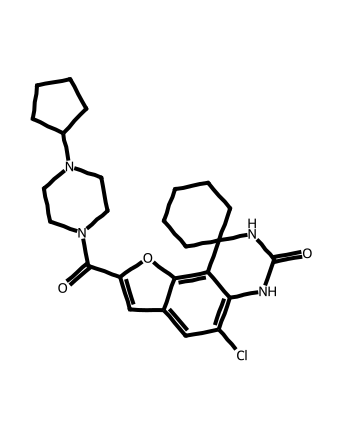 O=C1Nc2c(Cl)cc3cc(C(=O)N4CCN(C5CCCC5)CC4)oc3c2C2(CCCCC2)N1